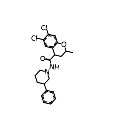 CC1CC(C(=O)NN2CCCC(c3ccccc3)C2)c2cc(Cl)c(Cl)cc2O1